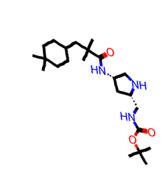 CC1(C)CCC(CC(C)(C)C(=O)N[C@@H]2CN[C@H](CNC(=O)OC(C)(C)C)C2)CC1